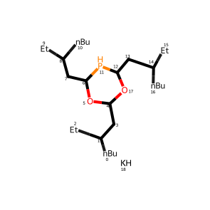 CCCCC(CC)CC1OC(CC(CC)CCCC)PC(CC(CC)CCCC)O1.[KH]